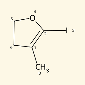 CC1=C(I)OCC1